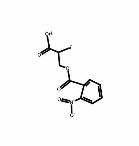 O=C(OCC(F)C(=O)O)c1ccccc1[N+](=O)[O-]